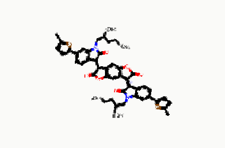 CCCCCCCCCCCCC(CCCCCCCCCC)CN1C(=O)/C(=C2/C(=O)Oc3cc4c(cc32)OC(=O)C4C2C(=O)N(CC(CCCCCCCCCC)CCCCCCCCCCCC)c3cc(-c4ccc(C)s4)ccc32)c2ccc(-c3ccc(C)s3)cc21